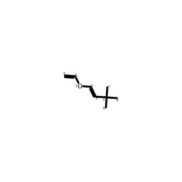 C=COC=CC(C)(C)C